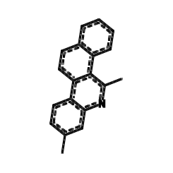 Cc1ccc2c(c1)nc(C)c1c3ccccc3ccc21